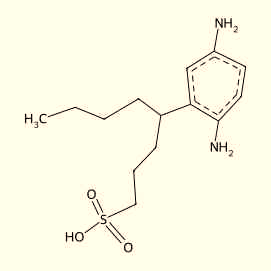 CCCCC(CCCS(=O)(=O)O)c1cc(N)ccc1N